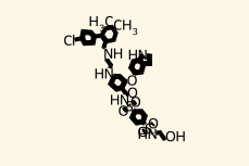 CC1(C)CCC(CNCCNc2ccc(C(=O)NS(=O)(=O)c3ccc(S(=O)(=O)NCCO)cc3)c(Oc3ccc4[nH]ccc4c3)c2)=C(c2ccc(Cl)cc2)C1